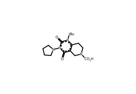 CC(C)(C)n1c2c(c(=O)n(N3CCCC3)c1=O)CN(C(=O)O)CC2